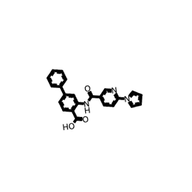 O=C(Nc1cc(-c2ccccc2)ccc1C(=O)O)c1ccc(-n2cccc2)nc1